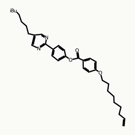 C=CCCCCCCCOc1ccc(C(=O)Oc2ccc(-c3ncc(CCCCC(C)CC)cn3)cc2)cc1